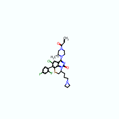 C=CC(=O)N1CCN(c2nc(=O)n3c4c(c(-c5ccc(F)cc5F)c(Cl)cc24)SCC3CCCN2CCC2)[C@@H](C)C1